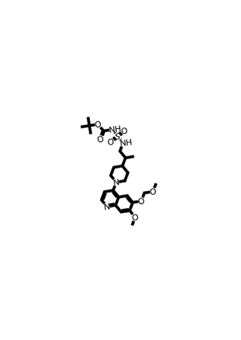 COCOc1cc2c(N3CCC(C(C)CNS(=O)(=O)NC(=O)OC(C)(C)C)CC3)ccnc2cc1OC